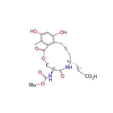 Cc1c(O)cc(O)c2c1C(=O)OC[C@H](NC(=O)OC(C)(C)C)C(=O)N[C@@H](/C=C/C(=O)O)CSC2